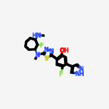 CN[C@H]1CCCC[C@@H](N(C)c2nnc(-c3cc(F)c(-c4cn[nH]c4)cc3O)s2)[C@H]1F